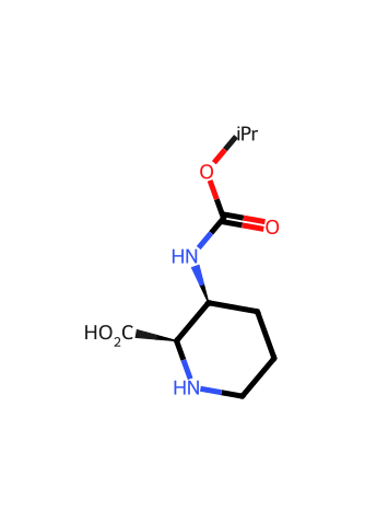 CC(C)OC(=O)N[C@H]1CCCN[C@H]1C(=O)O